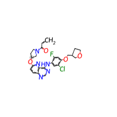 C=CC(=O)N1CC[C@H](Oc2ccc3ncnc(Nc4cc(Cl)c(OCC5CCOC5)cc4F)c3n2)C1